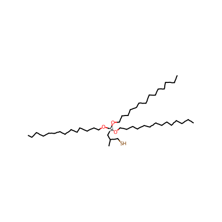 CCCCCCCCCCCCCCO[Si](CC(C)CS)(OCCCCCCCCCCCCCC)OCCCCCCCCCCCCCC